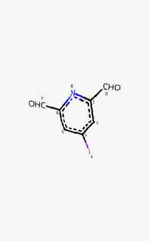 O=Cc1cc(I)cc(C=O)n1